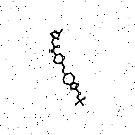 Cc1ncc(CC(=O)NC2CCC(CCN3CCc4nc(OCC(C)(F)F)sc4CC3)OC2)s1